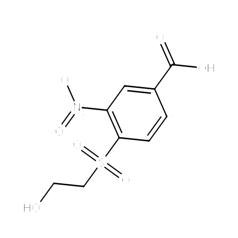 O=C(O)c1ccc(S(=O)(=O)CCO)c([N+](=O)[O-])c1